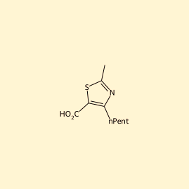 CCCCCc1nc(C)sc1C(=O)O